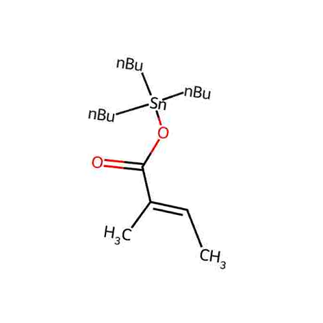 CC=C(C)C(=O)[O][Sn]([CH2]CCC)([CH2]CCC)[CH2]CCC